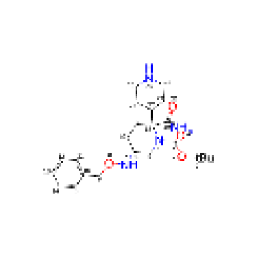 CC(C)(C)OC(=O)N1C[C@H](NOCc2ccccc2)CC[C@@]1(C(N)=O)C1CCNCC1